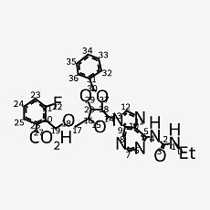 CCNC(=O)Nc1ncnc2c1ncn2C1OC(COCc2c(F)cccc2C(=O)O)C2OC(c3ccccc3)OC21